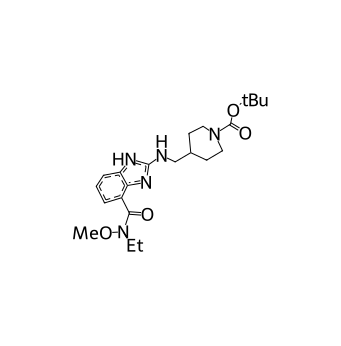 CCN(OC)C(=O)c1cccc2[nH]c(NCC3CCN(C(=O)OC(C)(C)C)CC3)nc12